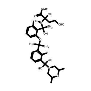 BC(B)(Oc1cccc(C)c1C(B)(O)N(C=O)C(O)(CCC=O)C(=O)NC)c1cccc(C(O)(O)N2CC(C)OC(C)C2)c1F